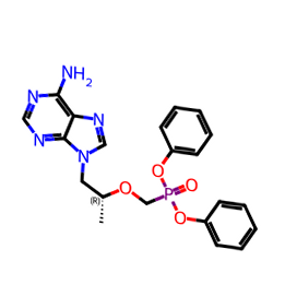 C[C@H](Cn1cnc2c(N)ncnc21)OCP(=O)(Oc1ccccc1)Oc1ccccc1